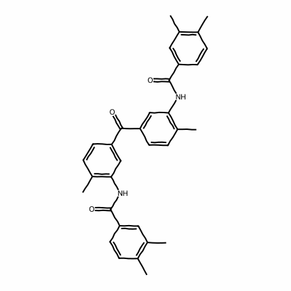 Cc1ccc(C(=O)Nc2cc(C(=O)c3ccc(C)c(NC(=O)c4ccc(C)c(C)c4)c3)ccc2C)cc1C